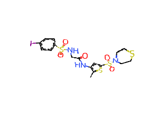 Cc1sc(S(=O)(=O)N2CCSCC2)cc1NC(=O)CNS(=O)(=O)c1ccc(I)cc1